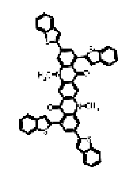 Cn1c2cc3c(=O)c4c(-c5cc6ccccc6s5)cc(-c5cc6ccccc6s5)cc4n(C)c3cc2c(=O)c2c(-c3cc4ccccc4s3)cc(-c3cc4ccccc4s3)cc21